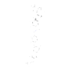 C=CC(=O)Oc1ccc(-c2ccc(/C=C/c3ccc(OC(=O)C(=C)CO)cc3)cc2)cc1